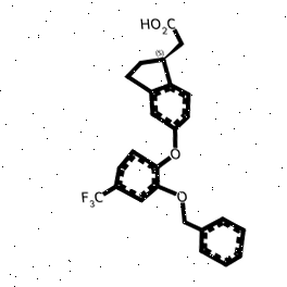 O=C(O)C[C@@H]1CCc2cc(Oc3ccc(C(F)(F)F)cc3OCc3ccccc3)ccc21